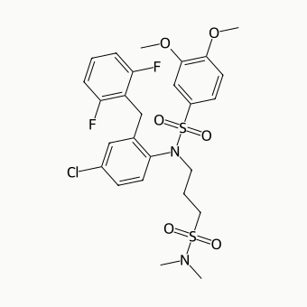 COc1ccc(S(=O)(=O)N(CCCS(=O)(=O)N(C)C)c2ccc(Cl)cc2Cc2c(F)cccc2F)cc1OC